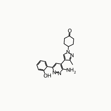 Cc1nn(C2CCC(=O)CC2)cc1-c1cc(-c2ccccc2O)nnc1N